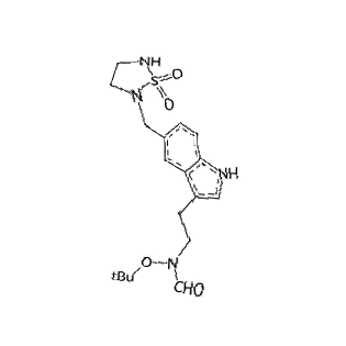 CC(C)(C)ON(C=O)CCc1c[nH]c2ccc(CN3CCNS3(=O)=O)cc12